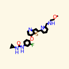 COCCNCc1cccc(-c2cc3nccc(Oc4ccc(NC(=O)NC5CC5)cc4F)c3s2)n1